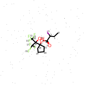 CCC(I)C(=O)OC1(C(O)(C(F)(F)F)C(F)(F)F)CCCC1